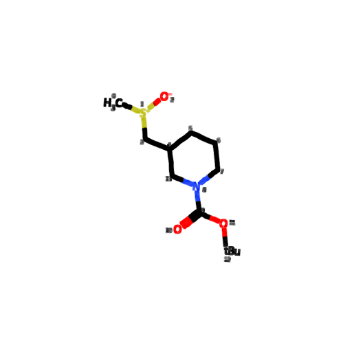 C[S+]([O-])CC1CCCN(C(=O)OC(C)(C)C)C1